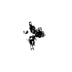 Cc1c(-c2cc(OC(c3ccc(F)cn3)C(C)(C)C#N)c3c(Cl)cnn3c2)nnn1C1CCNCC1.Cl.Cl